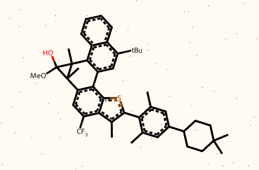 COC1(O)C2(C)c3cc(C(F)(F)F)c4c(C)c(-c5c(C)cc(C6CCC(C)(C)CC6)cc5C)sc4c3-c3cc(C(C)(C)C)c4ccccc4c3C12C